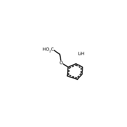 O=C(O)COc1ccccc1.[LiH]